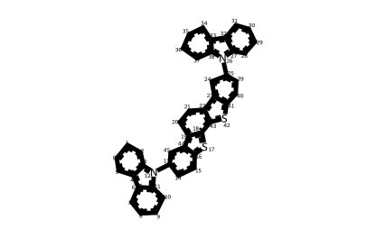 c1ccc2c(c1)c1ccccc1n2-c1ccc2sc3c(ccc4c5cc(-n6c7ccccc7c7ccccc76)ccc5sc43)c2c1